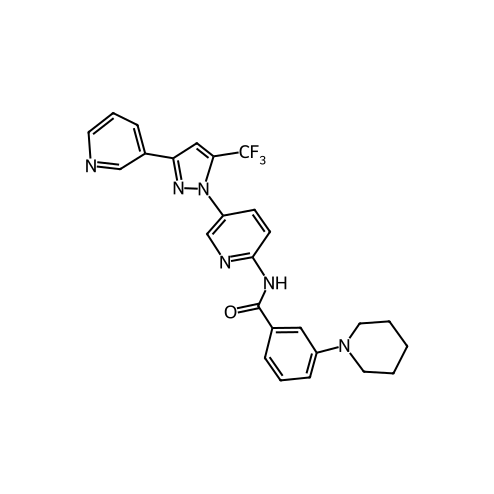 O=C(Nc1ccc(-n2nc(-c3cccnc3)cc2C(F)(F)F)cn1)c1cccc(N2CCCCC2)c1